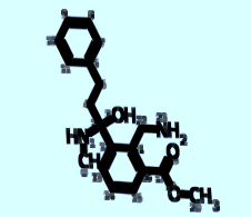 CNC(O)(CCc1ccccc1)c1cccc(C(=O)OC)c1CN